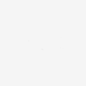 CC(C)c1cnc(C(C)C)c(C(C)C)c1